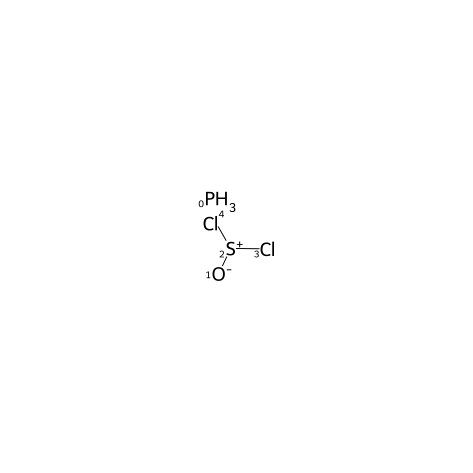 P.[O-][S+](Cl)Cl